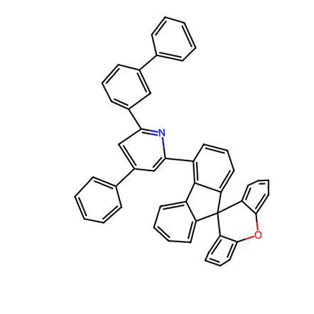 c1ccc(-c2cccc(-c3cc(-c4ccccc4)cc(-c4cccc5c4-c4ccccc4C54c5ccccc5Oc5ccccc54)n3)c2)cc1